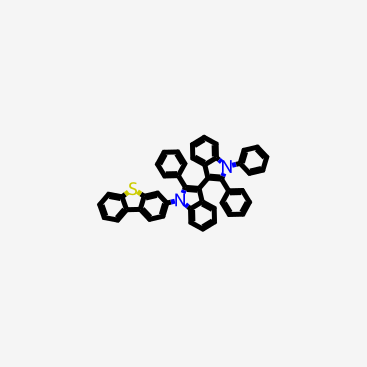 c1ccc(-c2c(-c3c(-c4ccccc4)n(-c4ccc5c(c4)sc4ccccc45)c4ccccc34)c3ccccc3n2-c2ccccc2)cc1